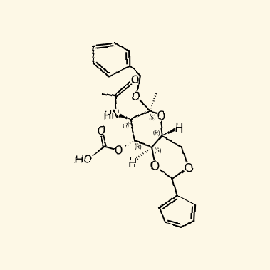 CC(=O)N[C@@H]1[C@@H](OC(=O)O)[C@@H]2OC(c3ccccc3)OC[C@H]2O[C@]1(C)OCc1ccccc1